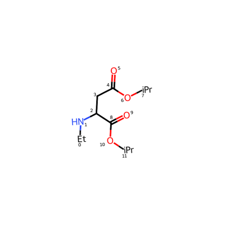 CCNC(CC(=O)OC(C)C)C(=O)OC(C)C